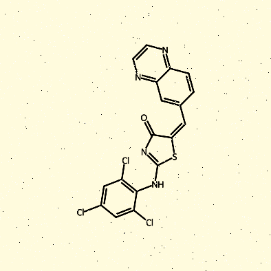 O=C1N=C(Nc2c(Cl)cc(Cl)cc2Cl)SC1=Cc1ccc2nccnc2c1